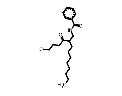 CCCCCCCCC(CNC(=O)c1ccccc1)C(=O)CCCCl